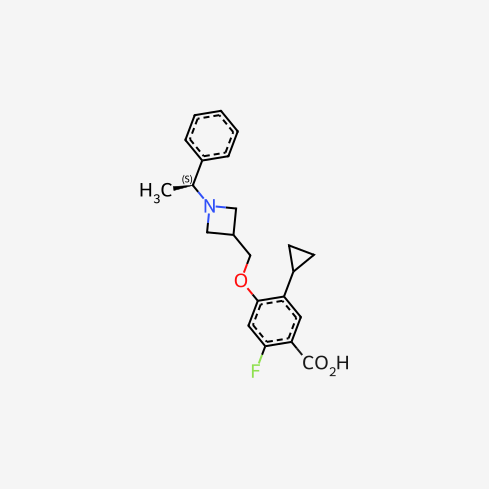 C[C@@H](c1ccccc1)N1CC(COc2cc(F)c(C(=O)O)cc2C2CC2)C1